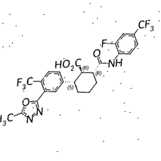 Cc1nnc(-c2cc([C@H]3CCC[C@@H](C(=O)Nc4ccc(C(F)(F)F)cc4F)[C@@H]3C(=O)O)ccc2C(F)(F)F)o1